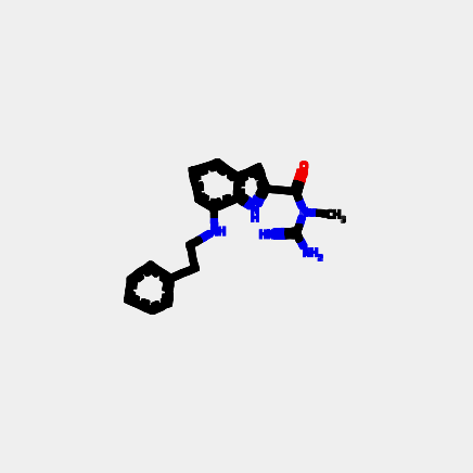 CN(C(=N)N)C(=O)c1cc2cccc(NCCc3ccccc3)c2[nH]1